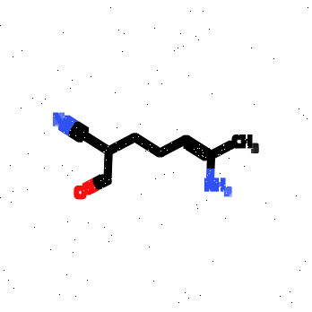 CC(N)=CCCC(C#N)C=O